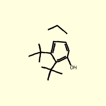 CC(C)(C)c1cccc(O)c1C(C)(C)C.CCC